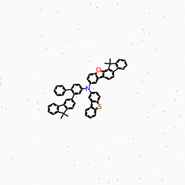 CC1(C)c2ccccc2-c2cc(-c3cc(N(c4ccc5oc6c7c(ccc6c5c4)-c4ccccc4C7(C)C)c4ccc5sc6ccccc6c5c4)ccc3-c3ccccc3)ccc21